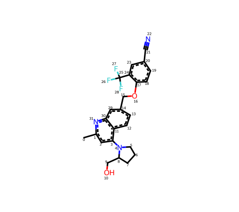 Cc1cc(N2CCCC2CO)c2ccc(COc3ccc(C#N)cc3C(F)(F)F)cc2n1